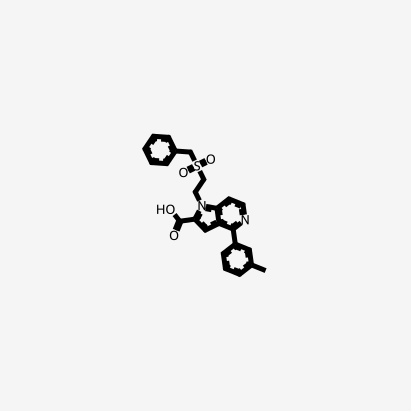 Cc1cccc(-c2nccc3c2cc(C(=O)O)n3CCS(=O)(=O)Cc2ccccc2)c1